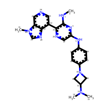 CNc1nc(Nc2ccc(N3CC(N(C)C)C3)cc2)cnc1-c1cncc2c1ncn2C